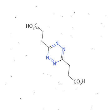 O=C(O)CCc1nnc(CCC(=O)O)nn1